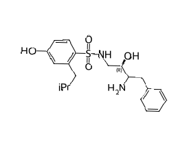 CC(C)Cc1cc(O)ccc1S(=O)(=O)NC[C@@H](O)C(N)Cc1ccccc1